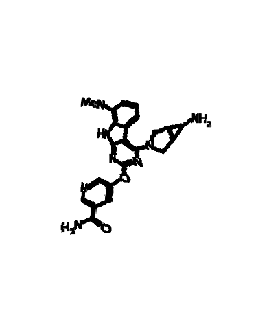 CNc1cccc2c1[nH]c1nc(Oc3cncc(C(N)=O)c3)nc(N3CC4C(N)C4C3)c12